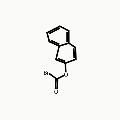 O=C(Br)Oc1ccc2ccccc2c1